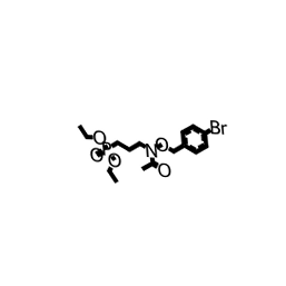 CCOP(=O)(CCCN(OCc1ccc(Br)cc1)C(C)=O)OCC